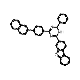 c1ccc(C2N=C(c3ccc(-c4ccc5ccccc5c4)cc3)N=C(c3ccc4c(c3)oc3ccccc34)N2)cc1